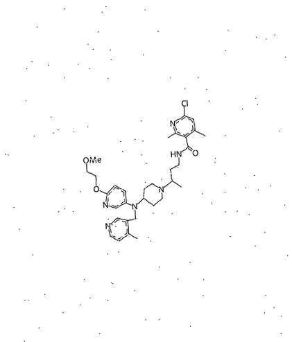 COCCOc1ccc(N(Cc2cnccc2C)C2CCN(C(C)CCNC(=O)c3c(C)cc(Cl)nc3C)CC2)cn1